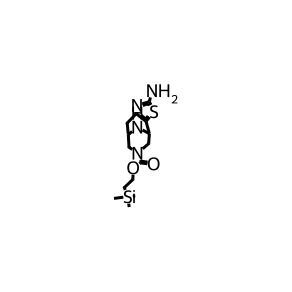 C[Si](C)(C)CCOC(=O)N1CC2Cc3nc(N)sc3C(C1)N2